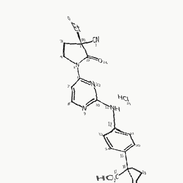 CC[C@]1(C#N)CCN(c2ccnc(Nc3ccc(C4(C(=O)O)CC4)cc3)n2)C1=O.Cl